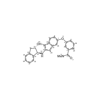 CNC(=O)c1cc(Oc2ccc3nc(N[C@H]4c5ccccc5C[C@@H]4O)sc3c2)ccn1